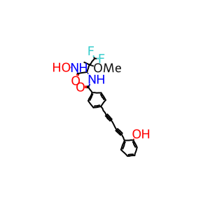 COC(C)(C(F)F)[C@H](NC(=O)c1ccc(C#CC#Cc2ccccc2O)cc1)C(=O)NO